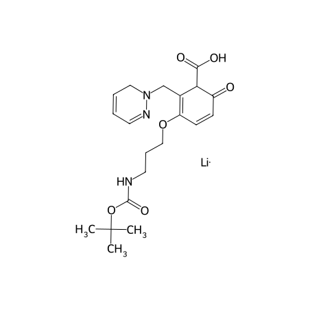 CC(C)(C)OC(=O)NCCCOC1=C(CN2CC=CC=N2)C(C(=O)O)C(=O)C=C1.[Li]